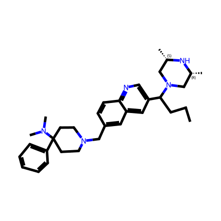 CCCC(c1cnc2ccc(CN3CCC(c4ccccc4)(N(C)C)CC3)cc2c1)N1C[C@@H](C)N[C@@H](C)C1